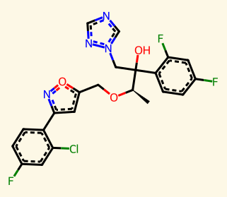 C[C@@H](OCc1cc(-c2ccc(F)cc2Cl)no1)C(O)(Cn1cncn1)c1ccc(F)cc1F